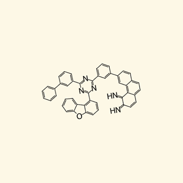 N=C1C=Cc2ccc3ccc(-c4cccc(-c5nc(-c6cccc(-c7ccccc7)c6)nc(-c6cccc7oc8ccccc8c67)n5)c4)cc3c2C1=N